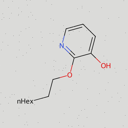 CCCCCCCCOc1ncccc1O